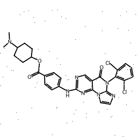 CN(C)C1CCC(OC(=O)c2ccc(Nc3ncc4c(=O)n(-c5c(Cl)cccc5Cl)c5nccn5c4n3)cc2)CC1